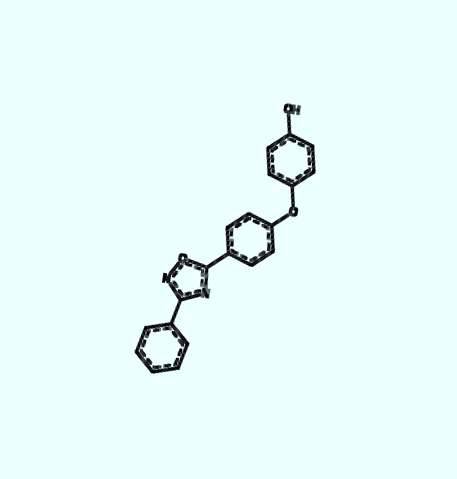 Oc1ccc(Oc2ccc(-c3nc(-c4ccccc4)no3)cc2)cc1